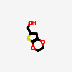 OCc1cc2c(s1)OCCO2